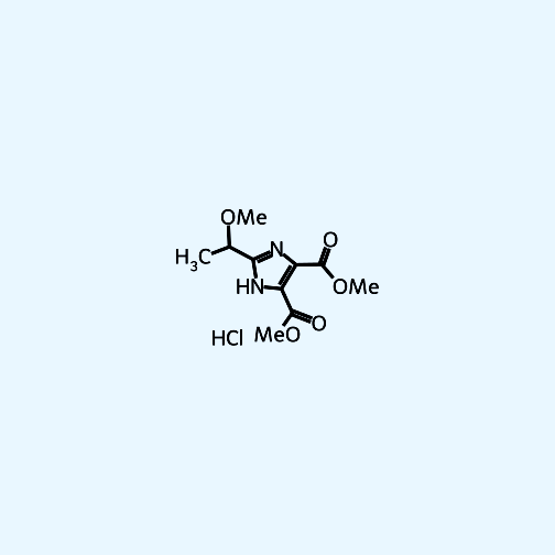 COC(=O)c1nc(C(C)OC)[nH]c1C(=O)OC.Cl